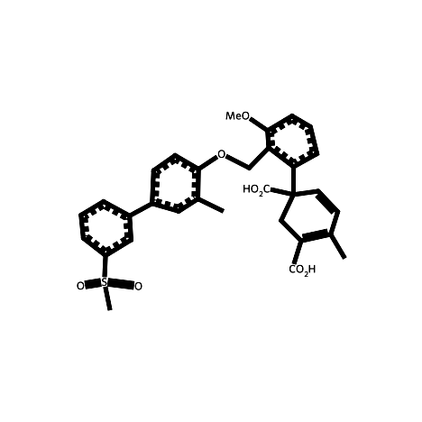 COc1cccc(C2(C(=O)O)C=CC(C)=C(C(=O)O)C2)c1COc1ccc(-c2cccc(S(C)(=O)=O)c2)cc1C